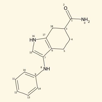 NC(=O)C1CCc2c(Nc3ccccc3)c[nH]c2C1